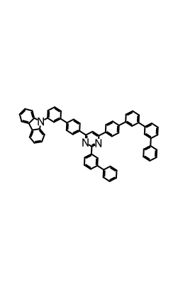 c1ccc(-c2cccc(-c3cccc(-c4ccc(-c5cc(-c6ccc(-c7cccc(-n8c9ccccc9c9ccccc98)c7)cc6)nc(-c6cccc(-c7ccccc7)c6)n5)cc4)c3)c2)cc1